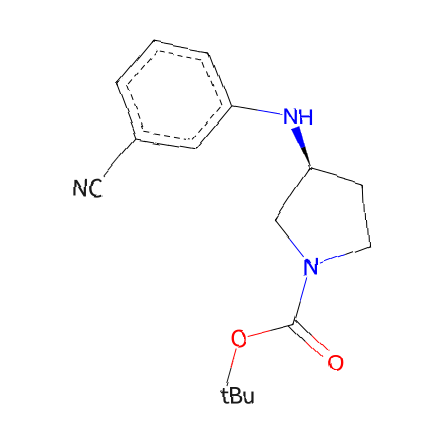 CC(C)(C)OC(=O)N1CC[C@H](Nc2cccc(C#N)c2)C1